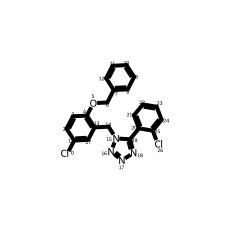 Clc1ccc(OCc2ccccc2)c(Cn2nnnc2-c2ccccc2Cl)c1